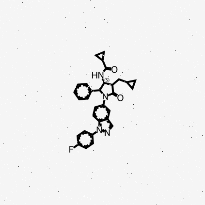 O=C(N[C@H]1C(CC2CC2)C(=O)N(c2ccc3c(cnn3-c3ccc(F)cc3)c2)C1c1ccccc1)C1CC1